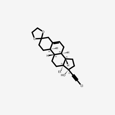 CC[C@]12CC[C@H]3[C@@H](CC=C4CC5(CC[C@@H]43)OCCO5)[C@@H]1CC[C@@]2(O)C#CCl